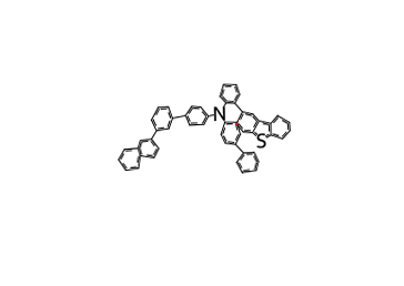 c1ccc(-c2ccc(N(c3ccc(-c4cccc(-c5ccc6ccccc6c5)c4)cc3)c3ccccc3-c3ccc4sc5ccccc5c4c3)cc2)cc1